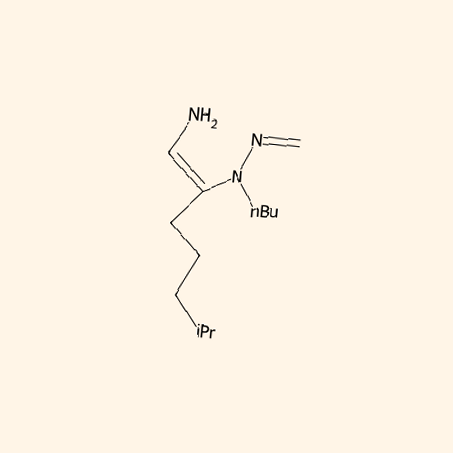 C=NN(CCCC)/C(=C\N)CCCC(C)C